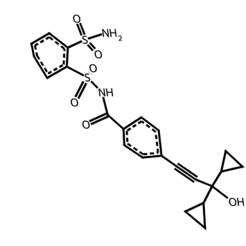 NS(=O)(=O)c1ccccc1S(=O)(=O)NC(=O)c1ccc(C#CC(O)(C2CC2)C2CC2)cc1